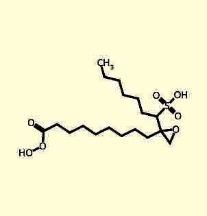 CCCCCCC(C1(CCCCCCCCC(=O)OO)CO1)S(=O)(=O)O